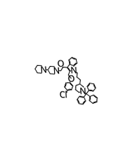 O=C(CN1CCC(N2CCCCC2)CC1)c1c(COc2ccc(Cl)cc2)n(CCCC2CCCN(C(c3ccccc3)(c3ccccc3)c3ccccc3)C2)c2ccccc12